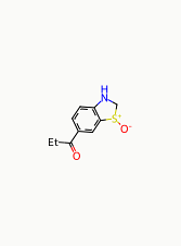 CCC(=O)c1ccc2c(c1)[S+]([O-])CN2